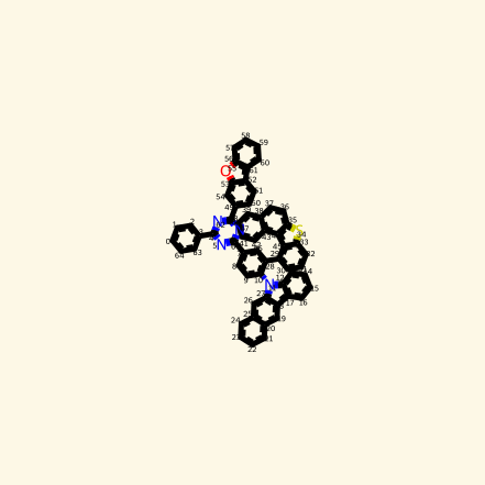 c1ccc(-c2nc(-c3ccc(-n4c5ccccc5c5cc6ccccc6cc54)c(-c4cccc5sc6ccc7ccccc7c6c45)c3)nc(-c3ccc4c(c3)oc3ccccc34)n2)cc1